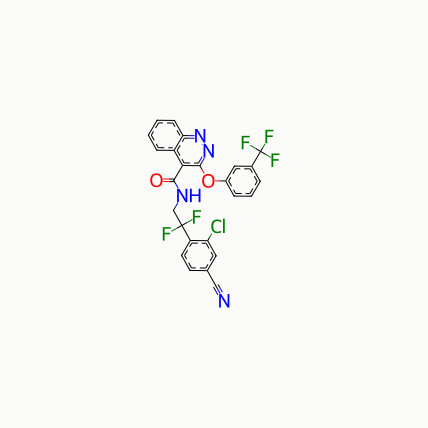 N#Cc1ccc(C(F)(F)CNC(=O)c2c(Oc3cccc(C(F)(F)F)c3)nnc3ccccc23)c(Cl)c1